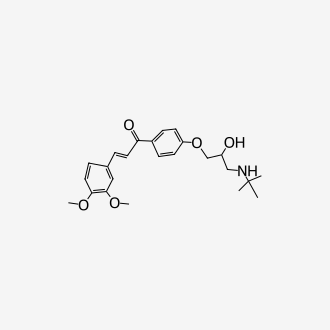 COc1ccc(C=CC(=O)c2ccc(OCC(O)CNC(C)(C)C)cc2)cc1OC